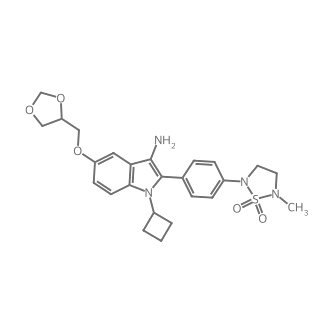 CN1CCN(c2ccc(-c3c(N)c4cc(OCC5COCO5)ccc4n3C3CCC3)cc2)S1(=O)=O